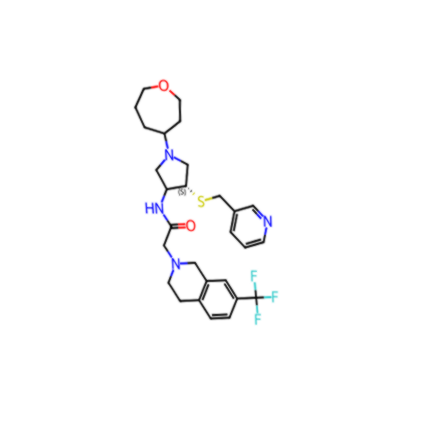 O=C(CN1CCc2ccc(C(F)(F)F)cc2C1)NC1CN(C2CCCOCC2)C[C@@H]1SCc1cccnc1